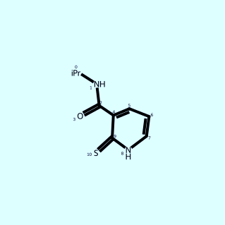 CC(C)NC(=O)c1ccc[nH]c1=S